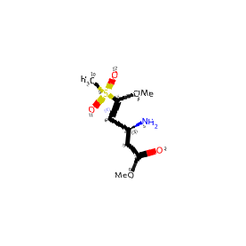 COC(=O)C[C@H](N)/C=C(\OC)S(C)(=O)=O